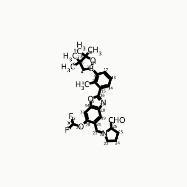 Cc1c(B2CC(C)(C)C(C)(C)O2)cccc1-c1nc2cc(CN3CCCC3C=O)c(OC(F)F)cc2o1